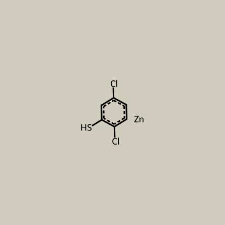 Sc1cc(Cl)ccc1Cl.[Zn]